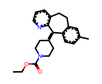 CCOC(=O)N1CCC(=C2c3ccc(C)cc3CCc3cccnc32)CC1